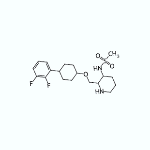 CS(=O)(=O)NC1CCCNC1COC1CCC(c2cccc(F)c2F)CC1